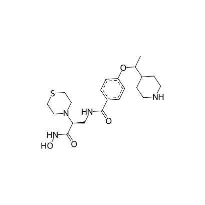 CC(Oc1ccc(C(=O)NC[C@@H](C(=O)NO)N2CCSCC2)cc1)C1CCNCC1